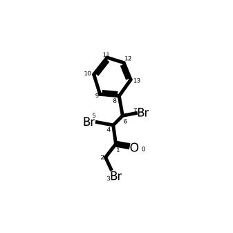 O=C(CBr)C(Br)C(Br)c1ccccc1